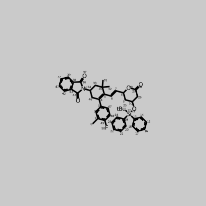 Cc1cc(C2=C(C=CC3CC(O[Si](c4ccccc4)(c4ccccc4)C(C)(C)C)CC(=O)O3)C(C)(C)CC(N3C(=O)c4ccccc4C3=O)C2)ccc1F